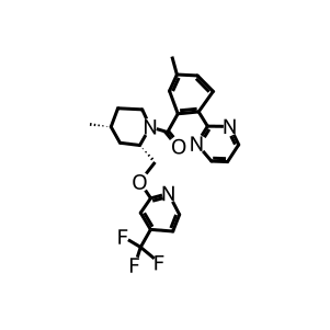 Cc1ccc(-c2ncccn2)c(C(=O)N2CC[C@@H](C)C[C@H]2COc2cc(C(F)(F)F)ccn2)c1